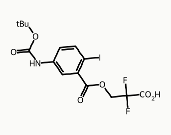 CC(C)(C)OC(=O)Nc1ccc(I)c(C(=O)OCC(F)(F)C(=O)O)c1